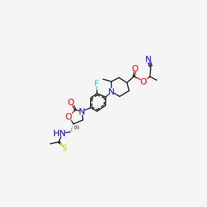 CC(=S)NC[C@H]1CN(c2ccc(N3CCC(C(=O)OC(C)C#N)CC3C)c(F)c2)C(=O)O1